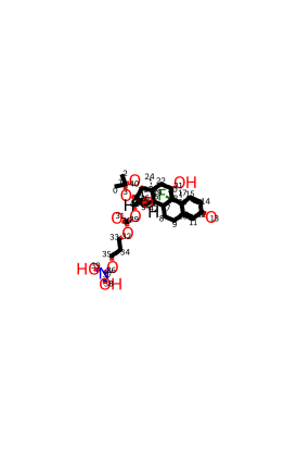 CC1(C)O[C@@H]2C[C@H]3C4CCC5=CC(=O)C=C[C@]5(C)[C@@]4(F)[C@@H](O)C[C@]3(C)[C@]2(C(=O)COC(=O)OCCCON(O)O)O1